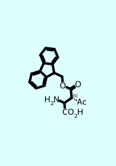 CC(=O)[C@@H](C(=O)OCC1c2ccccc2-c2ccccc21)C(N)C(=O)O